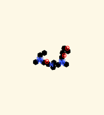 c1ccc(-c2cccc(-c3nc(-c4ccccc4)nc(-c4ccc5c(c4)oc4cc(-n6c7ccccc7c7c(-c8cccc(-c9nc(-c%10ccccc%10)nc(-c%10ccc%11c(c%10)oc%10cc(-c%12cccc%13oc%14ccccc%14c%12%13)ccc%10%11)n9)c8)cccc76)ccc45)n3)c2)cc1